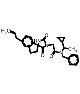 C=CCc1ccc2c(c1)CCC21NC(=O)N(CC(=O)N(Cc2ccccc2)C(C)C2CC2)C1=O